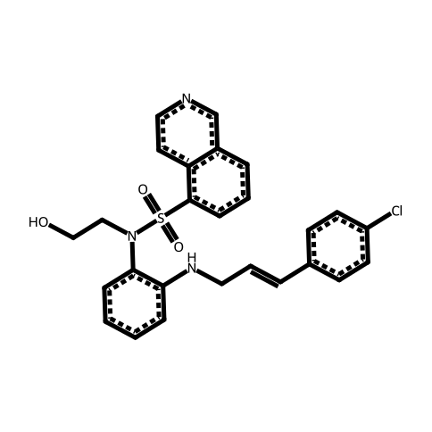 O=S(=O)(c1cccc2cnccc12)N(CCO)c1ccccc1NC/C=C/c1ccc(Cl)cc1